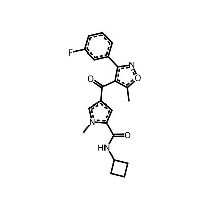 Cc1onc(-c2cccc(F)c2)c1C(=O)c1cc(C(=O)NC2CCC2)n(C)c1